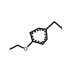 CCOc1ccc(CI)cc1